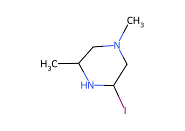 CC1CN(C)CC(I)N1